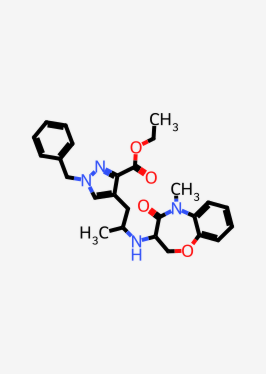 CCOC(=O)c1nn(Cc2ccccc2)cc1CC(C)NC1COc2ccccc2N(C)C1=O